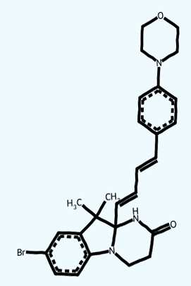 CC1(C)c2cc(Br)ccc2N2CCC(=O)NC21C=CC=Cc1ccc(N2CCOCC2)cc1